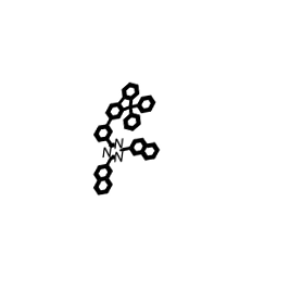 c1ccc(C2(c3ccccc3)c3ccccc3-c3ccc(-c4cccc(-c5nc(-c6ccc7ccccc7c6)nc(-c6ccc7ccccc7c6)n5)c4)cc32)cc1